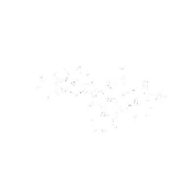 COc1nc(OCC2(OCCCN3CCOCC3)C=CC=C(c3ccccc3)C2(C)Br)nc(OC)c1CN1CCCCC1C(=O)O